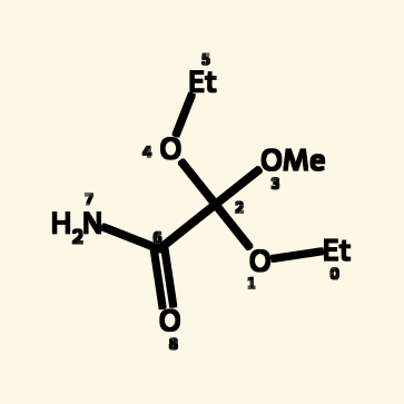 CCOC(OC)(OCC)C(N)=O